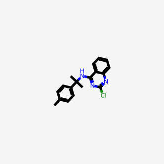 Cc1ccc(C(C)(C)Nc2nc(Cl)nc3ccccc23)cc1